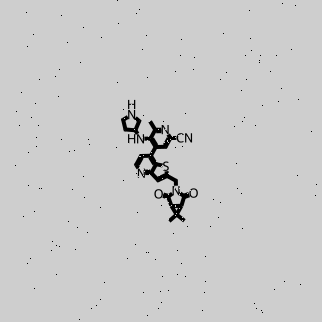 Cc1nc(C#N)cc(-c2ccnc3cc(CN4C(=O)C5C(C4=O)C5(C)C)sc23)c1NC1CCNC1